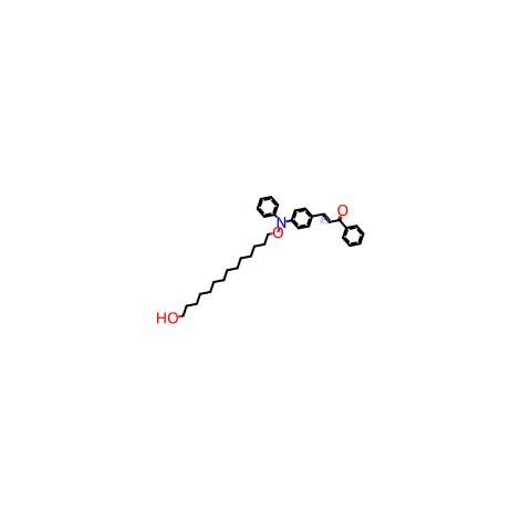 O=C(/C=C/c1ccc(N(OCCCCCCCCCCCCCCO)c2ccccc2)cc1)c1ccccc1